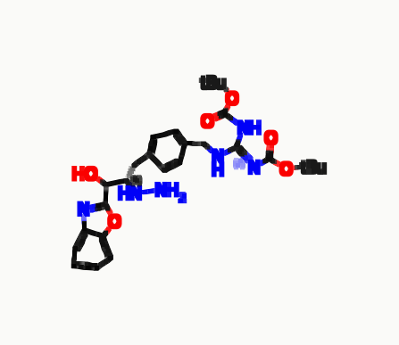 CC(C)(C)OC(=O)/N=C(/NCc1ccc(C[C@H](NN)C(O)c2nc3ccccc3o2)cc1)NC(=O)OC(C)(C)C